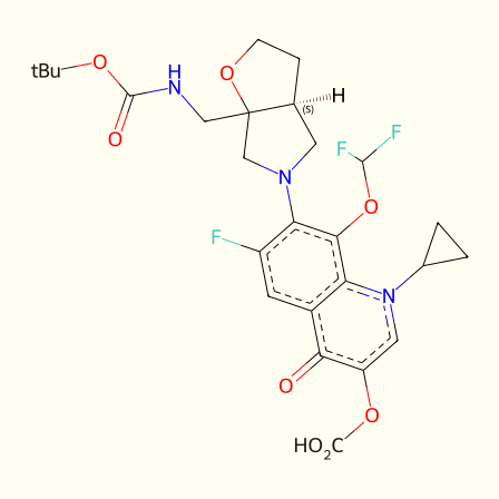 CC(C)(C)OC(=O)NCC12CN(c3c(F)cc4c(=O)c(OC(=O)O)cn(C5CC5)c4c3OC(F)F)C[C@@H]1CCO2